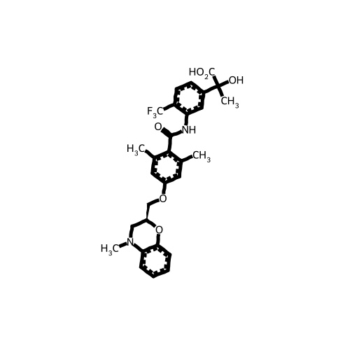 Cc1cc(OC[C@@H]2CN(C)c3ccccc3O2)cc(C)c1C(=O)Nc1cc(C(C)(O)C(=O)O)ccc1C(F)(F)F